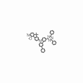 C=Nc1ccc2c(c1OC)-c1ccc(-n3c4ccc(-c5ccccc5)cc4c4cc(-c5nc(-c6ccccc6)nc(-c6ccccc6)n5)ccc43)cc1C2(C)C